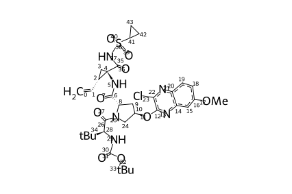 C=C[C@@H]1C[C@]1(NC(=O)[C@@H]1C[C@@H](Oc2nc3cc(OC)ccc3nc2Cl)CN1C(=O)[C@@H](NC(=O)OC(C)(C)C)C(C)(C)C)C(=O)NS(=O)(=O)C1CC1